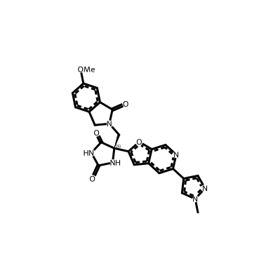 COc1ccc2c(c1)C(=O)N(C[C@@]1(c3cc4cc(-c5cnn(C)c5)ncc4o3)NC(=O)NC1=O)C2